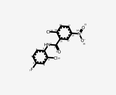 O=C(Nc1ccc(F)cc1Cl)c1cc([N+](=O)[O-])ccc1Cl